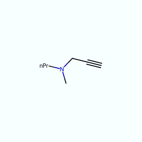 C#CCN(C)CCC